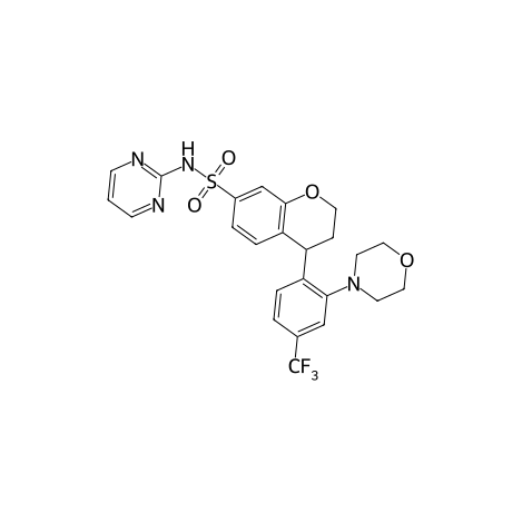 O=S(=O)(Nc1ncccn1)c1ccc2c(c1)OCCC2c1ccc(C(F)(F)F)cc1N1CCOCC1